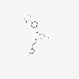 CCO[C@@H]1C[C@H](C(=O)Nc2ccc(N3CCOCC3=O)cc2)N(C(=O)/C=C/c2ccc(Cl)s2)C1